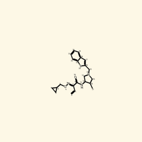 C=C/C(=N\OCC1CC1)C(=O)NC1CN(Cc2cc3ccccc3s2)CC1C